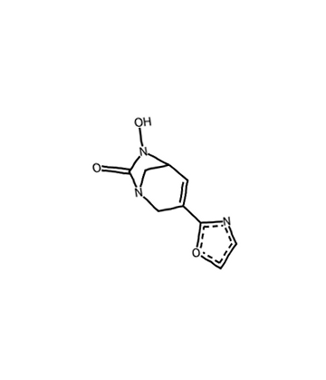 O=C1N2CC(c3ncco3)=CC(C2)N1O